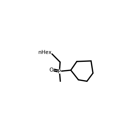 CCCCCCCP(C)(=O)C1CCCCC1